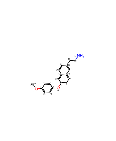 CCOc1ccc(Oc2ccc3cc(CCN)ccc3c2)cc1